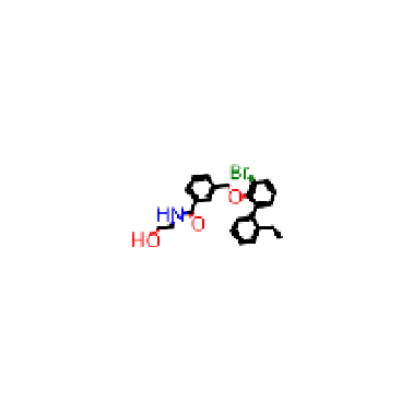 CCc1ccccc1-c1cccc(Br)c1OCc1cccc(C(=O)NCCO)c1